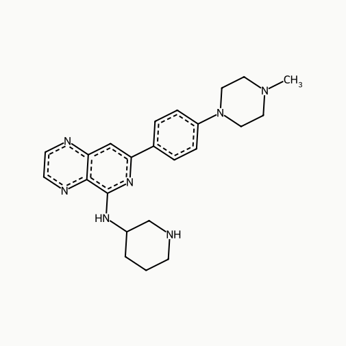 CN1CCN(c2ccc(-c3cc4nccnc4c(NC4CCCNC4)n3)cc2)CC1